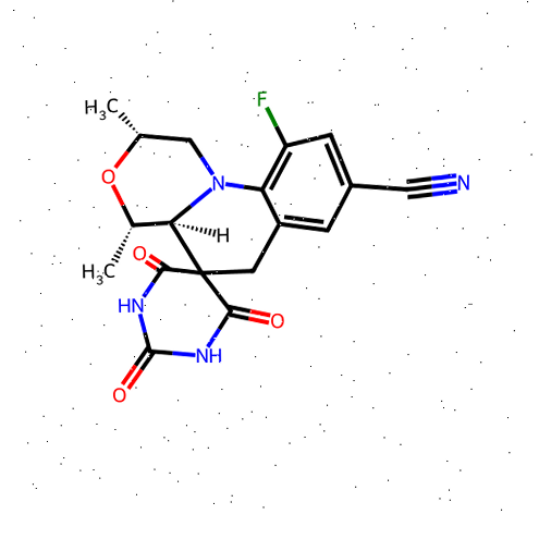 C[C@@H]1CN2c3c(F)cc(C#N)cc3CC3(C(=O)NC(=O)NC3=O)[C@H]2[C@H](C)O1